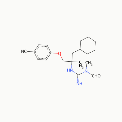 CN(C=O)C(=N)NC(C)(COc1ccc(C#N)cc1)CC1CCCCC1